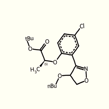 CCCCOC1CON=C1c1cc(Cl)ccc1O[C@@H](C)C(=O)OC(C)(C)C